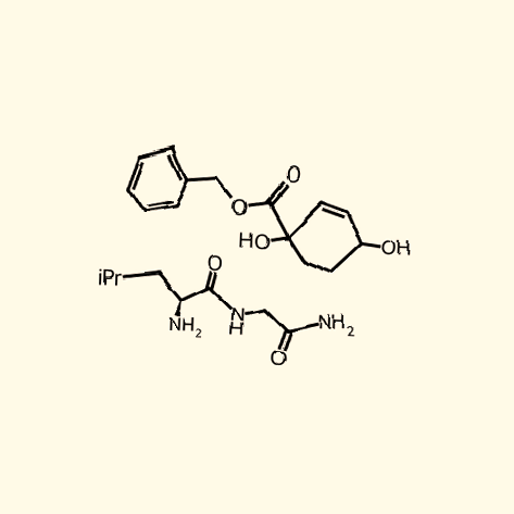 CC(C)C[C@H](N)C(=O)NCC(N)=O.O=C(OCc1ccccc1)C1(O)C=CC(O)CC1